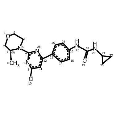 C[C@H]1COCCN1c1nc(Cl)cc(-c2ccc(NC(=O)NC3CC3)cc2)n1